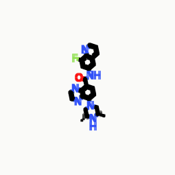 C[C@@H]1CN(c2ccc(C(=O)Nc3cc(F)c4ncccc4c3)c3nccnc23)C[C@@H](C)N1